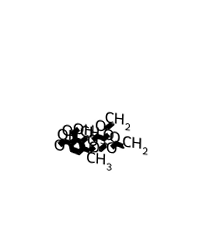 C=CC(=O)OCCOC(C)c1ccc(C(=O)O)c(C(=O)O)c1C(C)OCCOC(=O)C=C